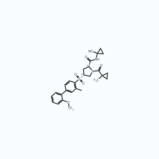 Cc1cc(-c2ccccc2OC(F)(F)F)ccc1S(=O)(=O)[C@@H]1C[C@@H](C(=O)NC2(C#N)CC2)N(C(=O)C2(C(F)(F)F)CC2)C1